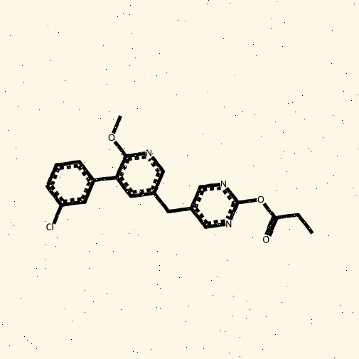 CCC(=O)Oc1ncc(Cc2cnc(OC)c(-c3cccc(Cl)c3)c2)cn1